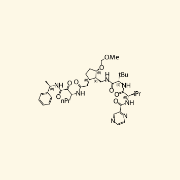 CCCC(NC(=O)C[C@H]1CC[C@@H](OCOC)[C@H]1CNC(=O)[C@@H](NC(=O)[C@H](NC(=O)c1cnccn1)C(C)C)C(C)(C)C)C(=O)C(=O)N[C@H](C)c1ccccc1